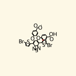 COC(=O)c1ccc(Oc2c(Oc3ccc(C(=O)O)cc3)c(-c3ccc(Br)s3)c3nsnc3c2-c2ccc(Br)s2)cc1